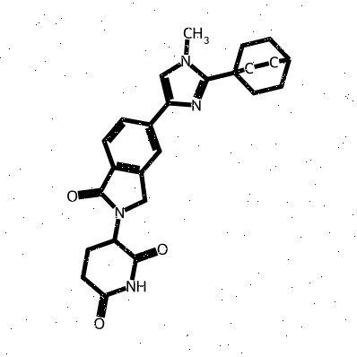 Cn1cc(-c2ccc3c(c2)CN(C2CCC(=O)NC2=O)C3=O)nc1C12CCC(CC1)CC2